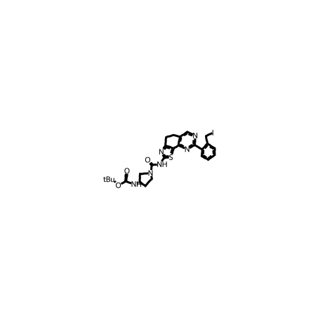 CC(C)(C)OC(=O)N[C@H]1CCN(C(=O)Nc2nc3c(s2)-c2nc(-c4ccccc4CI)ncc2CC3)C1